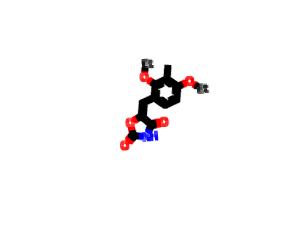 CCOc1ccc(C=C2OC(=O)NC2=O)c(OCC)c1C